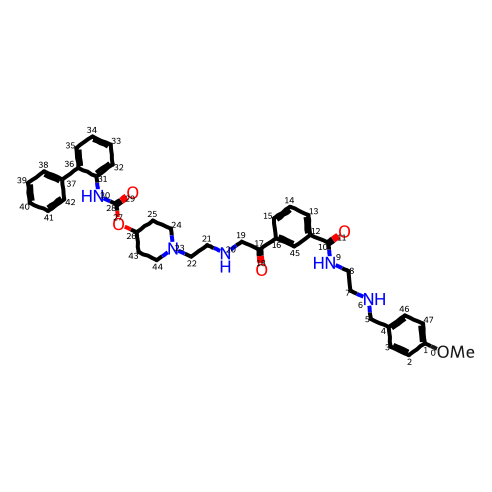 COc1ccc(CNCCNC(=O)c2cccc(C(=O)CNCCN3CCC(OC(=O)Nc4ccccc4-c4ccccc4)CC3)c2)cc1